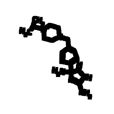 CC(C)N1CCN(Cc2ccc(C3(N)N=C(N)NN3)cc2)CC1